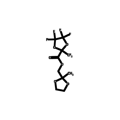 CC1(COC(=O)C2(C(F)(F)F)OC(F)(F)C(F)(F)O2)OCCO1